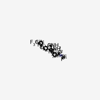 NC(=O)c1c(-c2ccc(Oc3cccc(C(F)(F)F)n3)cc2)nn([C@@H]2CCCN(C(=O)/C=C/C(F)F)C2)c1N